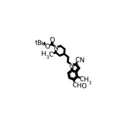 Cc1c(C=O)ccc2c1cc(C#N)n2CCC1CCN(C(=O)OC(C)(C)C)C(C)C1